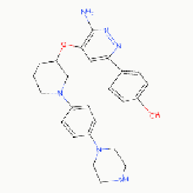 Nc1nnc(-c2ccc(O)cc2)cc1OC1CCCN(c2ccc(N3CCNCC3)cc2)C1